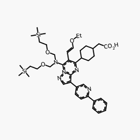 CCOC=Cc1c(C2CCC(CC(=O)O)CC2)nc2c(-c3ccc(-c4ccccc4)nc3)cnn2c1N(COCC[Si](C)(C)C)COCC[Si](C)(C)C